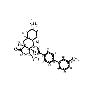 C[C@@H]1CC[C@@H]2[C@@H](C1)C[C@H]1C(=O)O[C@H](C)[C@H]1[C@H]2/C=C/c1ccc(-c2cccc(C(F)(F)F)c2)cn1